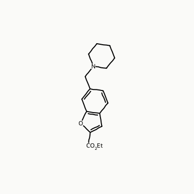 CCOC(=O)c1cc2ccc(CN3CCCCC3)cc2o1